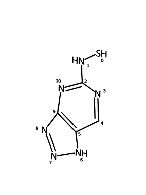 SNc1ncc2[nH]nnc2n1